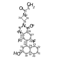 C=CC(=O)N1CC(n2cnc3c(F)c(-c4cc(O)cc5ccccc45)c(F)cc3c2=O)C1